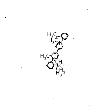 CC(C)c1ccccc1N1C=CC(C2=CC(C)N(c3ccccc3C(C)(C)C)C=C2)=CC1